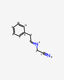 N#CC/N=C/Cc1ccccc1